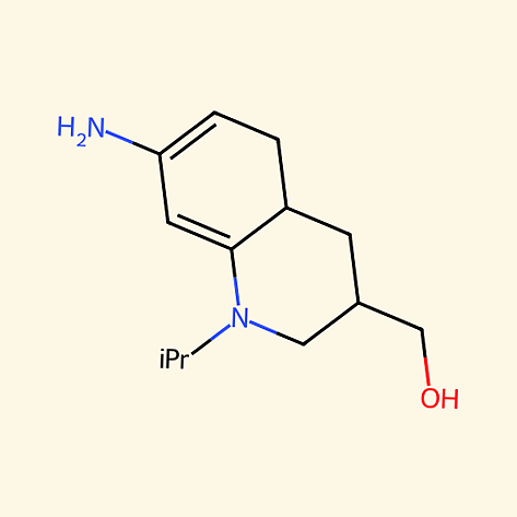 CC(C)N1CC(CO)CC2CC=C(N)C=C21